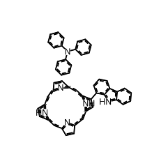 C1=Cc2cc3cc(-c4cccc5c4[nH]c4ccccc45)c(cc4nc(cc5ccc(cc1n2)[nH]5)C=C4)[nH]3.c1ccc(N(c2ccccc2)c2ccccc2)cc1